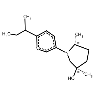 CCC(C)c1ccc(N2C[C@](C)(O)CC[C@H]2C)cn1